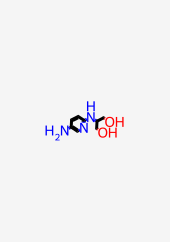 Nc1ccc(NC(CO)CO)nc1